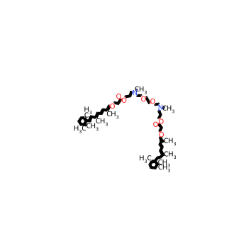 CC1=C(/C=C/C(C)=C/C=C/C(C)=C/OCCC(=O)OCCCN(C)CCOCCOCCN(C)CCCOC(=O)CCO/C=C(C)/C=C/C=C(\C)CCC2=C(C)CCCC2(C)C)C(C)(C)CCC1